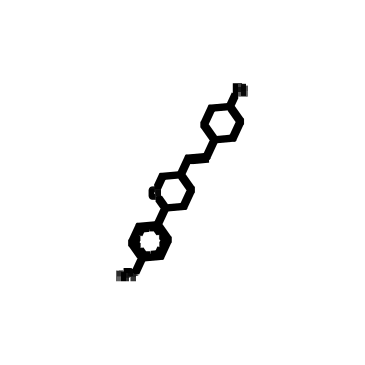 CCCc1ccc(C2CCC(/C=C/C3CCC(CC)CC3)CO2)cc1